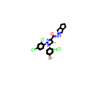 C[C@H]1C(C(=O)NN2CC3CCCC3C2)=NN(c2ccc(Cl)cc2Cl)[C@H]1c1ccc(Br)cc1.Cl